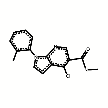 CNC(=O)c1cnc2c(ccn2-c2ccccc2C)c1Cl